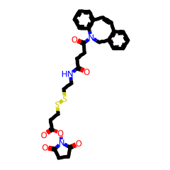 O=C(CCC(=O)N1Cc2ccccc2/C=C\c2ccccc21)NCCSSCCC(=O)ON1C(=O)CCC1=O